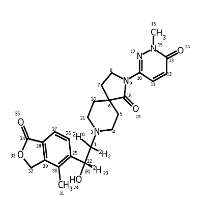 [2H]C([2H])(N1CCC2(CCN(c3ccc(=O)n(C)n3)C2=O)CC1)[C@]([2H])(O)c1ccc2c(c1C)COC2=O